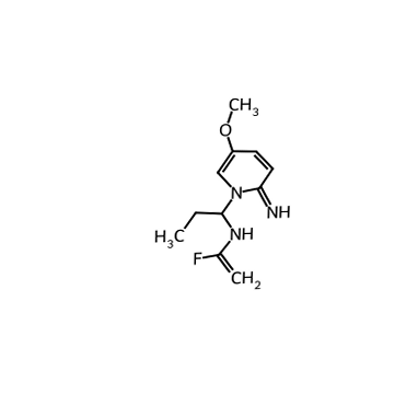 C=C(F)NC(CC)n1cc(OC)ccc1=N